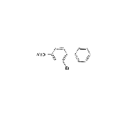 CCc1cc(OC)ccc1-c1ccccc1